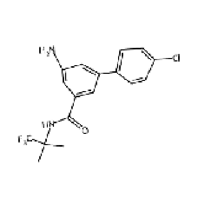 CC(C)(NC(=O)c1cc(N)cc(-c2ccc(Cl)cc2)c1)C(F)(F)F